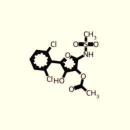 CC(=O)Oc1c(NS(C)(=O)=O)oc(-c2c(Cl)cccc2Cl)c1O